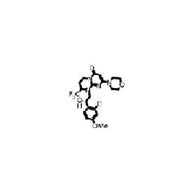 COc1ccc([C@H](O)CN2c3nc(N4CCOCC4)cc(=O)n3CCC2C(F)(F)F)c(Cl)c1